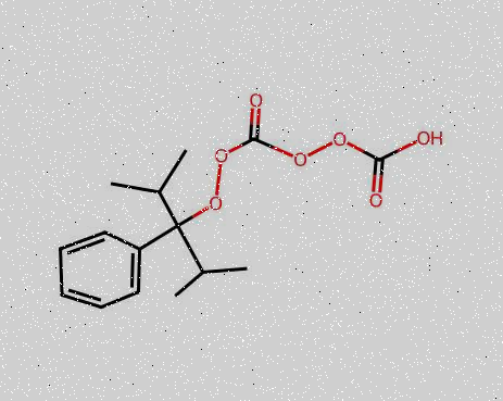 CC(C)C(OOC(=O)OOC(=O)O)(c1ccccc1)C(C)C